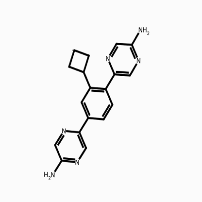 Nc1cnc(-c2ccc(-c3cnc(N)cn3)c(C3C[CH]C3)c2)cn1